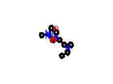 c1ccc(-c2cccc(-n3c4ccccc4c4cc(-c5ccc6c(c5)c5ccccc5n6-c5ccc6oc7cccc(-c8nc(-c9ccccc9)nc(-c9ccccc9)n8)c7c6c5)ccc43)c2)cc1